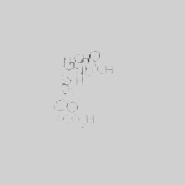 Cc1nsc(-c2cc3sc(-c4ccc(C5(C(=O)O)CC5)c5ccccc45)cc3s2)c1NC(=O)O[C@H](C)c1ccccc1